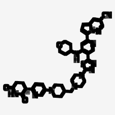 N#Cc1cnn2c(-c3cc(NC4CCOCC4)c(-c4nnc(N5CCN(CC6CCN(c7ccc([C@@H]8CCC(=O)NC8=O)nc7)CC6)CC5)s4)cn3)ccc2c1